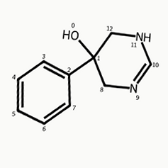 OC1(c2ccccc2)CN=CNC1